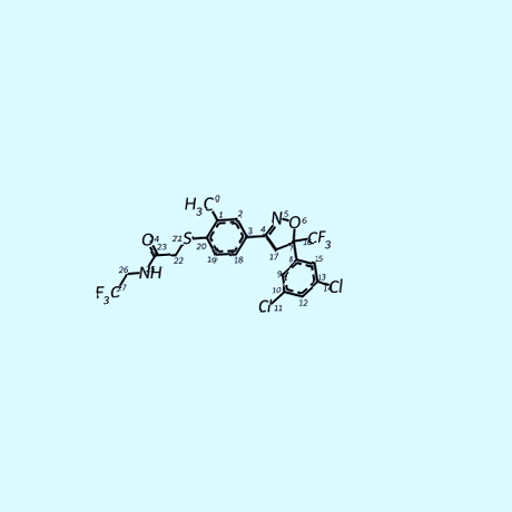 Cc1cc(C2=NOC(c3cc(Cl)cc(Cl)c3)(C(F)(F)F)C2)ccc1SCC(=O)NCC(F)(F)F